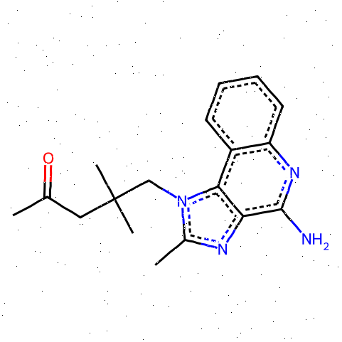 CC(=O)CC(C)(C)Cn1c(C)nc2c(N)nc3ccccc3c21